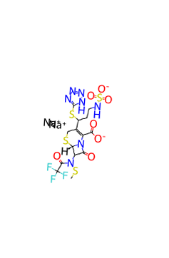 CSN(C(=O)C(F)(F)F)C1C(=O)N2C(C(=O)[O-])=C(C(CCNS(=O)(=O)[O-])Sc3nnn[nH]3)CS[C@@H]12.[Na+].[Na+]